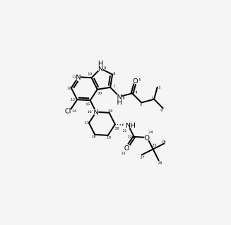 CC(C)CC(=O)Nc1c[nH]c2ncc(Cl)c(N3CCC[C@@H](NC(=O)OC(C)(C)C)C3)c12